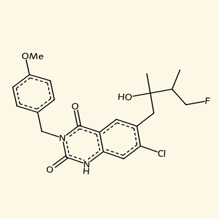 COc1ccc(Cn2c(=O)[nH]c3cc(Cl)c(CC(C)(O)C(C)CF)cc3c2=O)cc1